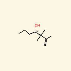 C=C(C)C(C)(C)[C@@H](O)CCC